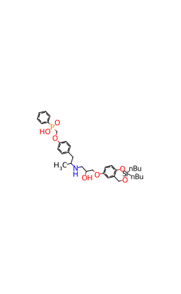 CCCC[Si]1(CCCC)OCc2cc(OCC(O)CNC(C)Cc3ccc(OCP(=O)(O)c4ccccc4)cc3)ccc2O1